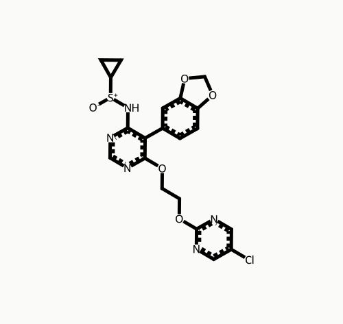 [O-][S+](Nc1ncnc(OCCOc2ncc(Cl)cn2)c1-c1ccc2c(c1)OCO2)C1CC1